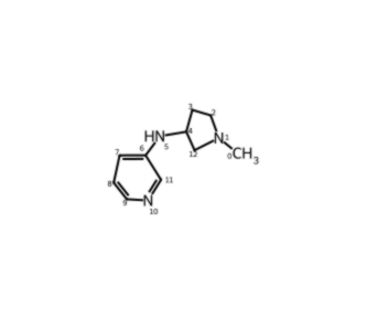 CN1CCC(Nc2cccnc2)C1